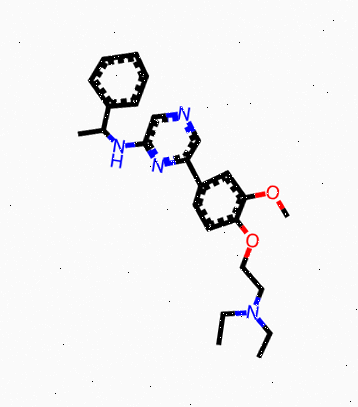 CCN(CC)CCOc1ccc(-c2cncc(NC(C)c3ccccc3)n2)cc1OC